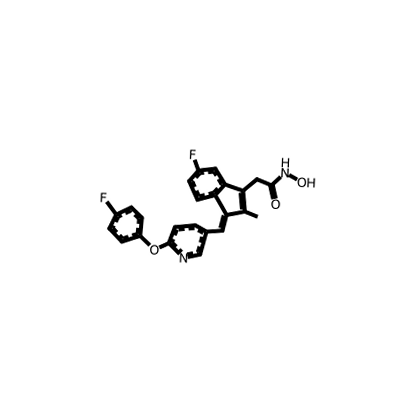 CC1=C(CC(=O)NO)c2cc(F)ccc2/C1=C\c1ccc(Oc2ccc(F)cc2)nc1